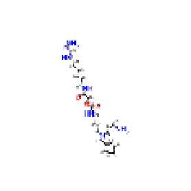 CC(N)CCN(CCCCNC(=O)OCC(=O)NCCCCCCNC=NN)Cc1ccccc1